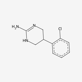 NC1=NCC(c2ccccc2Cl)CN1